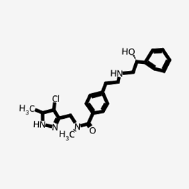 CC1NN=C(CN(C)C(=O)c2ccc(CCNC[C@H](O)c3ccccc3)cc2)C1Cl